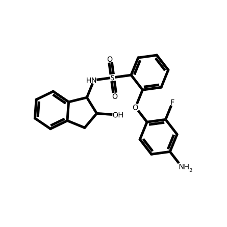 Nc1ccc(Oc2ccccc2S(=O)(=O)NC2c3ccccc3CC2O)c(F)c1